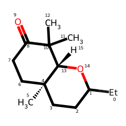 CCC1CC[C@@]2(C)CCC(=O)C(C)(C)[C@@H]2O1